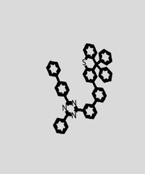 c1ccc(-c2ccc(-c3nc(-c4ccccc4)nc(-c4cccc(-c5cccc(-c6ccc7c(c6)C(c6ccccc6)(c6ccccc6)c6ccccc6S7)c5)c4)n3)cc2)cc1